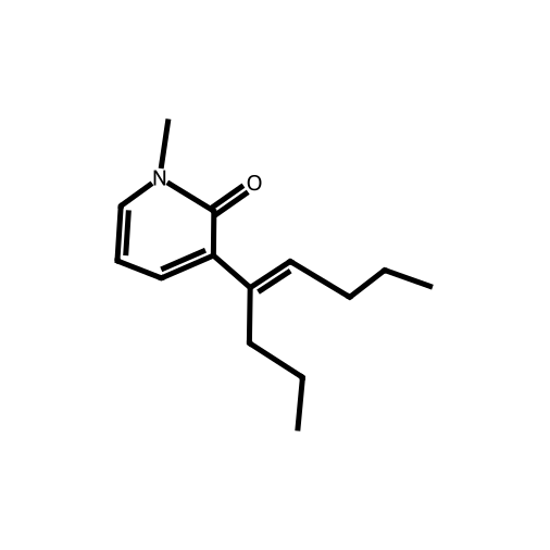 CCCC=C(CCC)c1cccn(C)c1=O